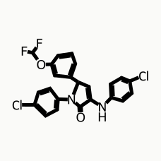 O=C1C(Nc2ccc(Cl)cc2)=CC(c2cccc(OC(F)F)c2)N1c1ccc(Cl)cc1